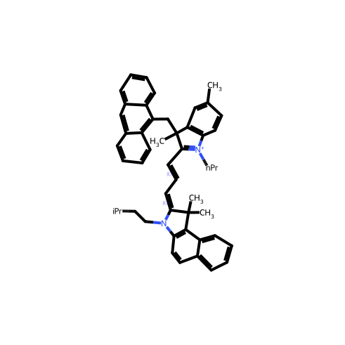 CCC[N+]1=C(/C=C/C=C2/N(CCC(C)C)c3ccc4ccccc4c3C2(C)C)C(C)(Cc2c3ccccc3cc3ccccc23)c2cc(C)ccc21